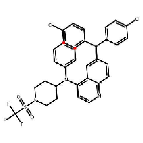 O=S(=O)(N1CCC(N(c2ccccc2)c2ccnc3ccc(C(c4ccc(Cl)cc4)c4ccc(Cl)cc4)cc23)CC1)C(F)(F)F